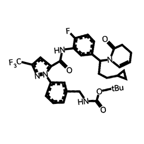 CC(C)(C)OC(=O)NCc1cccc(-n2nc(C(F)(F)F)cc2C(=O)Nc2cc(C(CCC3CC3)N3C=CCCC3=O)ccc2F)c1